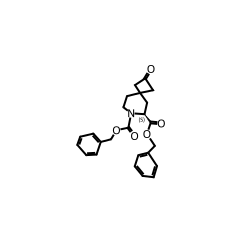 O=C1CC2(CCN(C(=O)OCc3ccccc3)[C@H](C(=O)OCc3ccccc3)C2)C1